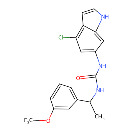 CC(NC(=O)Nc1cc(Cl)c2cc[nH]c2c1)c1cccc(OC(F)(F)F)c1